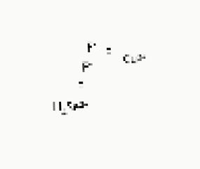 [Cu+2].[F-].[F-].[F-].[F-].[SeH4+2]